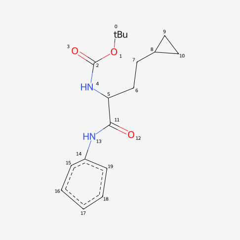 CC(C)(C)OC(=O)NC(CCC1CC1)C(=O)Nc1ccccc1